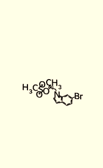 C[C@H](Cn1ccc2ccc(Br)cc21)OS(C)(=O)=O